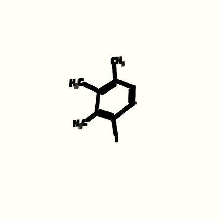 Cc1c[c]c(I)c(C)c1C